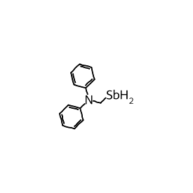 [SbH2][CH2]N(c1ccccc1)c1ccccc1